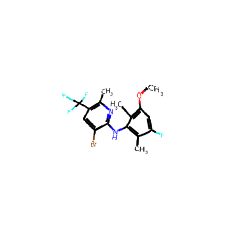 COc1cc(F)c(C)c(Nc2nc(C)c(C(F)(F)F)cc2Br)c1C